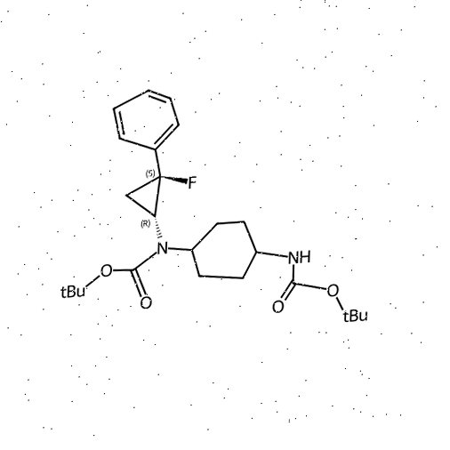 CC(C)(C)OC(=O)NC1CCC(N(C(=O)OC(C)(C)C)[C@@H]2C[C@]2(F)c2ccccc2)CC1